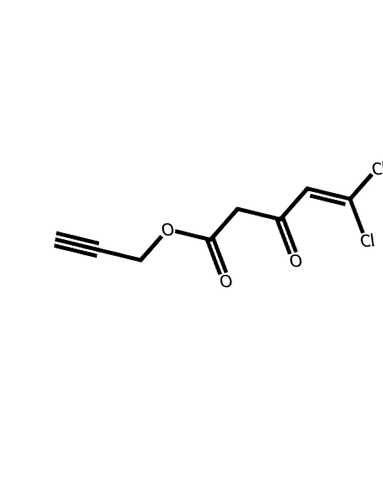 C#CCOC(=O)CC(=O)C=C(Cl)Cl